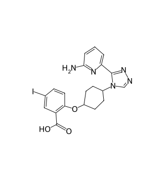 Nc1cccc(-c2nncn2C2CCC(Oc3ccc(I)cc3C(=O)O)CC2)n1